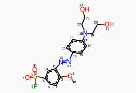 COc1ccc(S(=O)(=O)F)cc1/N=N/c1ccc(N(CCO)CCO)cc1